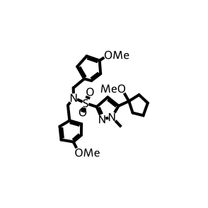 COc1ccc(CN(Cc2ccc(OC)cc2)S(=O)(=O)c2cc(C3(OC)CCCC3)n(C)n2)cc1